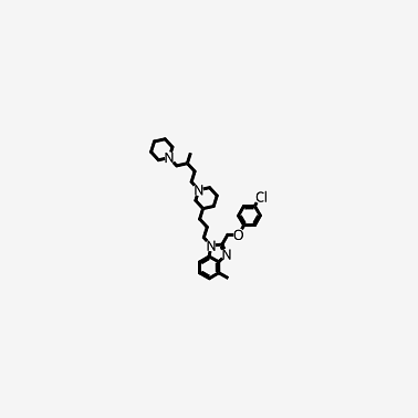 Cc1cccc2c1nc(COc1ccc(Cl)cc1)n2CCCC1CCCN(CCC(C)CN2CCCCC2)C1